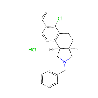 C=Cc1ccc2c(c1Cl)CC[C@@]1(C)CN(Cc3ccccc3)C[C@@H]21.Cl